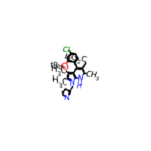 Cc1c2c(n(Cc3cccnc3)c1C)NC(C)C(CC(=O)O)=C2c1ccc(Cl)cc1OC(C)(C)C